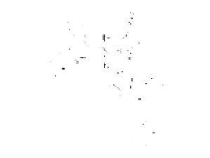 COc1cc(Nc2c(-c3cc(OC)c(OC)c(OC)c3)[nH]c3c(C#N)cnn23)ccc1OCCN1CCCC1